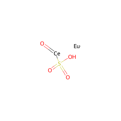 [Eu].[O]=[Ce][S](=O)(=O)O